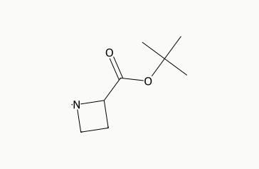 CC(C)(C)OC(=O)C1CC[N]1